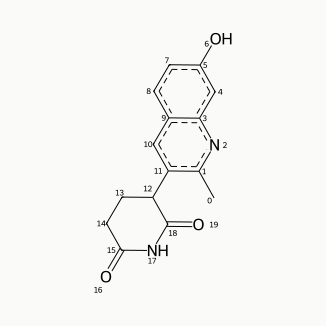 Cc1nc2cc(O)ccc2cc1C1CCC(=O)NC1=O